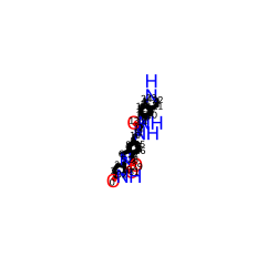 O=C1CCC(N2Cc3cc(CNC(=O)Nc4ccc5c(c4)CCNC5)ccc3C2=O)C(=O)N1